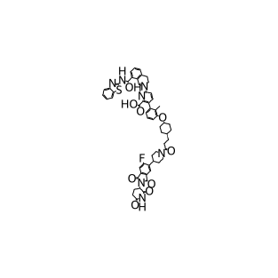 Cc1c(O[C@H]2CC[C@H](CCC(=O)N3CCC(c4cc5c(cc4F)C(=O)N(C4CCC(=O)NC4=O)C5=O)CC3)CC2)cccc1-c1ccc(N2CCc3cccc(C(O)Nc4nc5ccccc5s4)c3C2)nc1C(=O)O